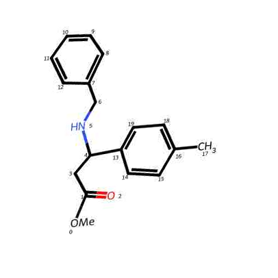 COC(=O)CC(NCc1ccccc1)c1ccc(C)cc1